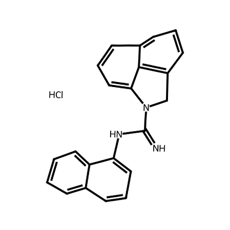 Cl.N=C(Nc1cccc2ccccc12)N1Cc2cccc3cccc1c23